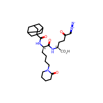 [N-]=[N+]=CC(=O)CC[C@H](NC(=O)[C@@H](CCCCN1CCCCC1=O)NC(=O)C12CC3CC(CC(C3)C1)C2)C(=O)O